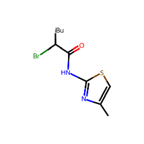 CCC(C)C(Br)C(=O)Nc1nc(C)cs1